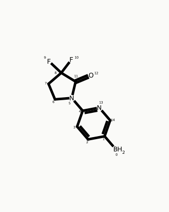 Bc1ccc(N2CCC(F)(F)C2=O)nc1